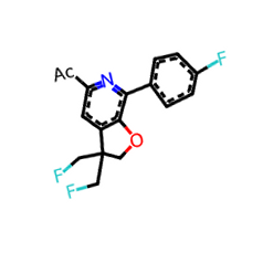 CC(=O)c1cc2c(c(-c3ccc(F)cc3)n1)OCC2(CF)CF